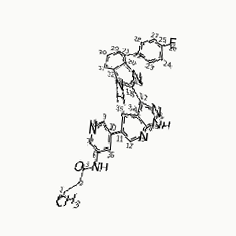 CCCC(=O)Nc1cncc(-c2cnc3[nH]nc(-c4nc5c(-c6ccc(F)cc6)cccc5[nH]4)c3c2)c1